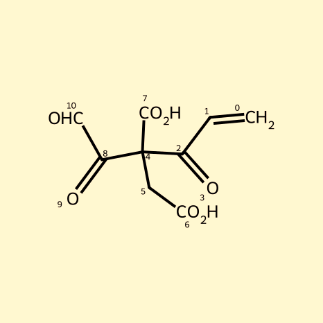 C=CC(=O)C(CC(=O)O)(C(=O)O)C(=O)C=O